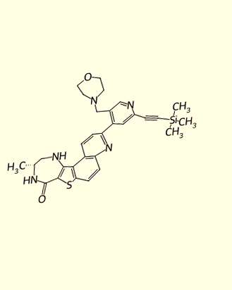 C[C@@H]1CNc2c(sc3ccc4nc(-c5cc(C#C[Si](C)(C)C)ncc5CN5CCOCC5)ccc4c23)C(=O)N1